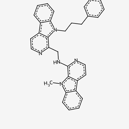 Cn1c2ccccc2c2ccnc(NCc3nccc4c5ccccc5n(CCCc5ccccc5)c34)c21